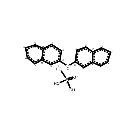 O=P(O)(O)O.c1ccc2cc(Oc3ccc4ccccc4c3)ccc2c1